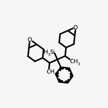 CC(C1CCC2OC2C1)C([SiH3])(c1ccccc1)C(C)C1CCC2OC2C1